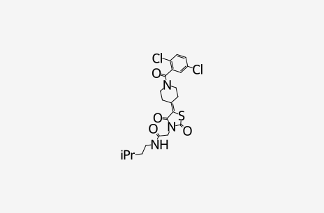 CC(C)CCNC(=O)CN1C(=O)SC(=C2CCN(C(=O)c3cc(Cl)ccc3Cl)CC2)C1=O